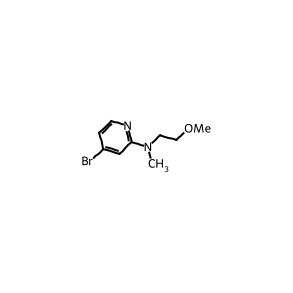 COCCN(C)c1cc(Br)ccn1